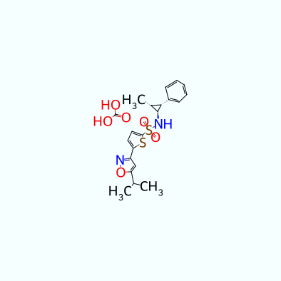 CC(C)c1cc(-c2ccc(S(=O)(=O)N[C@H]3[C@H](C)[C@@H]3c3ccccc3)s2)no1.O=C(O)O